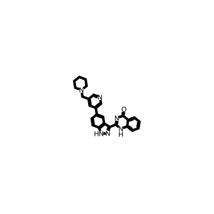 O=c1nc(-c2n[nH]c3ccc(-c4cncc(CN5CCCCC5)c4)cc23)[nH]c2ccccc12